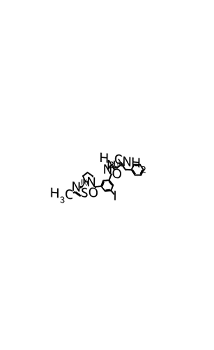 Cc1csc([C@H]2CCCN2C(=O)c2cc(I)cc(-c3nnc([C@](C)(N)Cc4ccccc4)o3)c2)n1